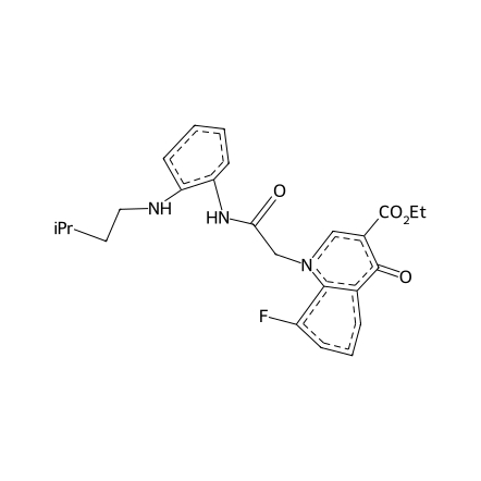 CCOC(=O)c1cn(CC(=O)Nc2ccccc2NCCC(C)C)c2c(F)cccc2c1=O